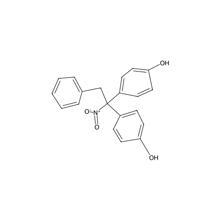 O=[N+]([O-])C(Cc1ccccc1)(c1ccc(O)cc1)c1ccc(O)cc1